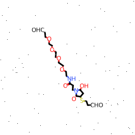 O=CCCOCCOCCOCCOCCNC(=O)CCN1C(=O)C(SCCC=O)CC1O